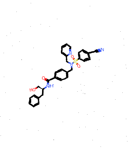 N#Cc1ccc(S(=O)(=O)N(Cc2ccc(C(=O)N[C@H](CO)Cc3ccccc3)cc2)Cc2ccccn2)cc1